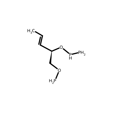 CC=C[C@H](COP)OPP